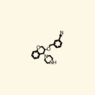 N#Cc1cccc(CO[C@@H]2COc3ccccc3[C@H]2N2CCNCC2)c1